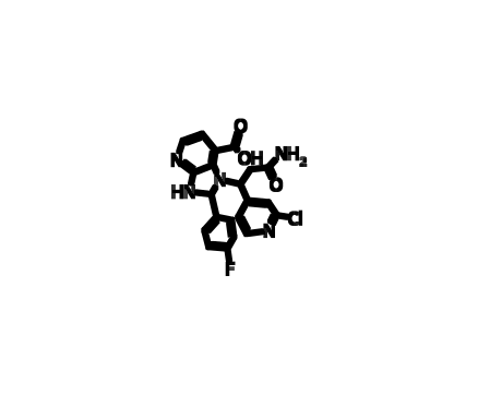 NC(=O)CC(c1ccnc(Cl)c1)N1c2c(C(=O)O)ccnc2NC1c1ccc(F)cc1